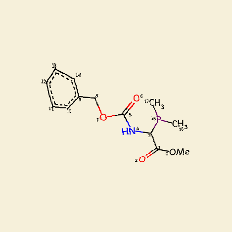 COC(=O)C(NC(=O)OCc1ccccc1)P(C)C